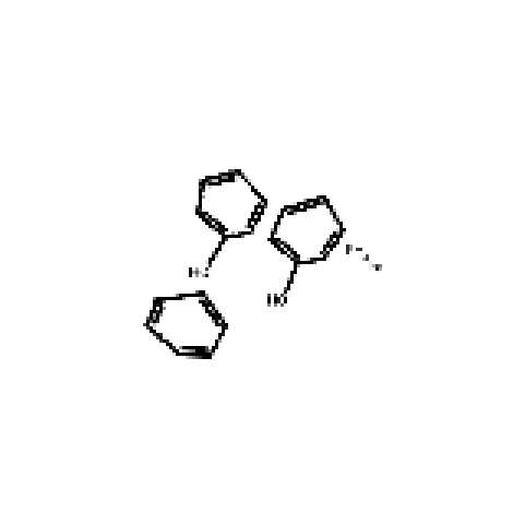 Oc1ccccc1.Oc1ccccc1.P.[Fe].c1ccccc1